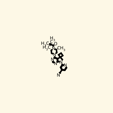 C[C@@H]1CN(c2ncnc3c2C2(CCC2)CN3c2cc(C#N)ccn2)CCN1C(=O)C(C)(C)C